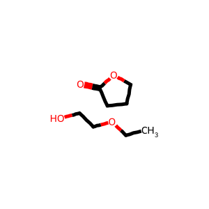 CCOCCO.O=C1CCCO1